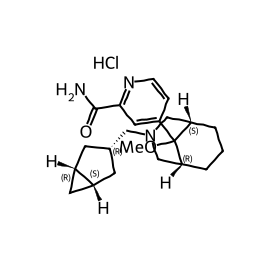 COC1(c2ccnc(C(N)=O)c2)[C@@H]2CCC[C@H]1CN(C[C@@H]1C[C@@H]3C[C@@H]3C1)C2.Cl